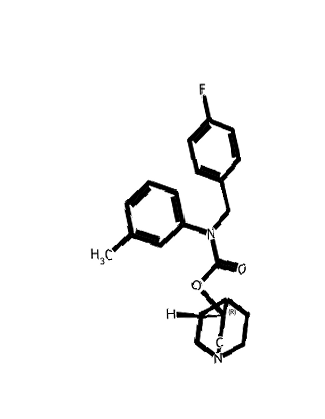 Cc1cccc(N(Cc2ccc(F)cc2)C(=O)O[C@H]2CN3CCC2CC3)c1